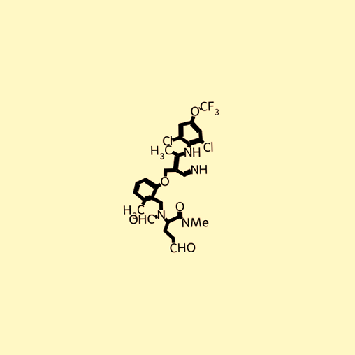 CNC(=O)C(CCC=O)N(C=O)Cc1c(C)cccc1OC/C(C=N)=C(\C)Nc1c(Cl)cc(OC(F)(F)F)cc1Cl